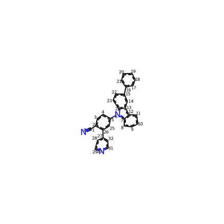 N#Cc1ccc(-n2c3ccccc3c3cc(-c4ccccc4)ccc32)cc1-c1ccncc1